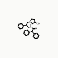 O=C(NCC(CN1CCC(O)C1)c1ccccc1)C(c1ccccc1)c1ccccc1